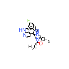 C=CC(=O)N1Cc2c(-c3ccnc4[nH]cc(C)c34)c(-c3ccc(F)cc3)nn2C[C@@H]1C